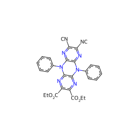 [C-]#[N+]c1nc2c(nc1[N+]#[C-])N(c1ccccc1)c1nc(C(=O)OCC)c(C(=O)OCC)nc1N2c1ccccc1